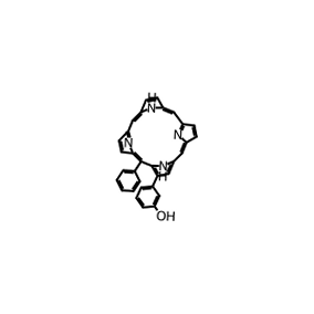 Oc1cccc(-c2cc3cc4nc(cc5ccc(cc6nc(c(-c7ccccc7)c2[nH]3)C=C6)[nH]5)C=C4)c1